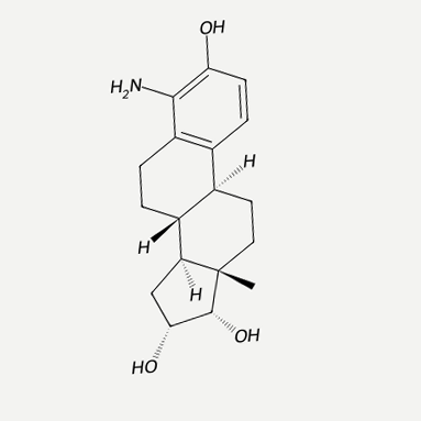 C[C@]12CC[C@@H]3c4ccc(O)c(N)c4CC[C@H]3[C@@H]1C[C@@H](O)[C@H]2O